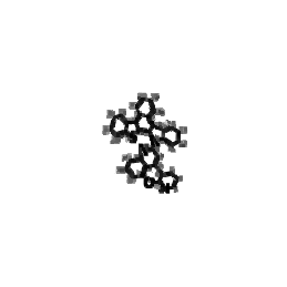 c1cnc2c(c1)-c1cc(-n3c4ccccc4c4c5ccccc5c5c6ccccc6sc5c43)nc3cccc(c13)O2